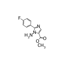 COC(=O)c1cnc(-c2ccc(F)cc2)n1N